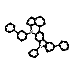 c1ccc(-c2cccc(N3c4cc5c(cc4-c4cccc6cccc3c46)c3cc(-c4ccccc4)ccc3n5-c3ccccc3)c2)cc1